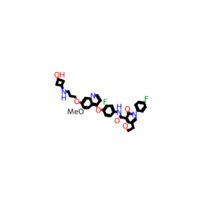 COc1cc2c(Oc3ccc(NC(=O)c4c5c(cn(-c6ccc(F)cc6)c4=O)CCO5)cc3F)ccnc2cc1OCCCNC1CC(O)C1